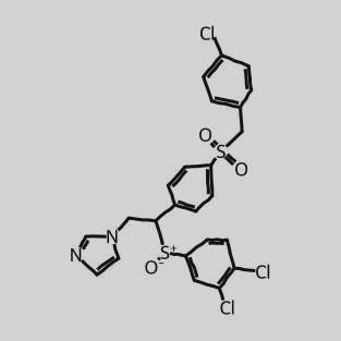 O=S(=O)(Cc1ccc(Cl)cc1)c1ccc(C(Cn2ccnc2)[S+]([O-])c2ccc(Cl)c(Cl)c2)cc1